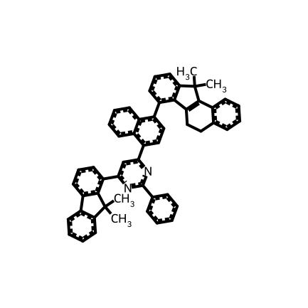 CC1(C)C2=C(CCc3ccccc32)c2c(-c3ccc(-c4cc(-c5cccc6c5C(C)(C)c5ccccc5-6)nc(-c5ccccc5)n4)c4ccccc34)cccc21